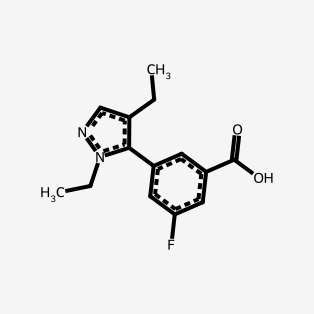 CCc1cnn(CC)c1-c1cc(F)cc(C(=O)O)c1